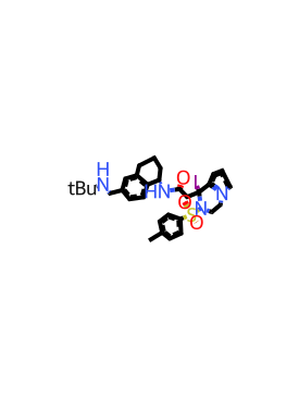 Cc1ccc(S(=O)(=O)N2CCn3cccc3C2(I)CC(=O)N[C@@H]2CCCc3cc(CNC(C)(C)C)ccc32)cc1